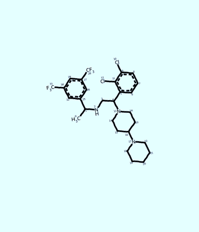 CC(NCC(c1cccc(Cl)c1Cl)N1CCC(N2CCCCC2)CC1)c1cc(C(F)(F)F)cc(C(F)(F)F)c1